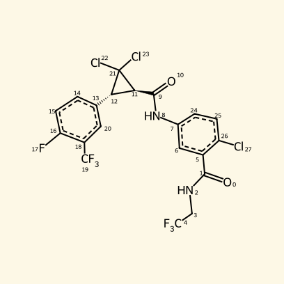 O=C(NCC(F)(F)F)c1cc(NC(=O)[C@H]2[C@H](c3ccc(F)c(C(F)(F)F)c3)C2(Cl)Cl)ccc1Cl